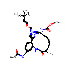 COC(=O)Nc1ccc2c(c1)NC(=O)[C@H](C)CCC[C@H](NC(=O)OC(C)(C)C)c1nc-2cn1COCC[Si](C)(C)C